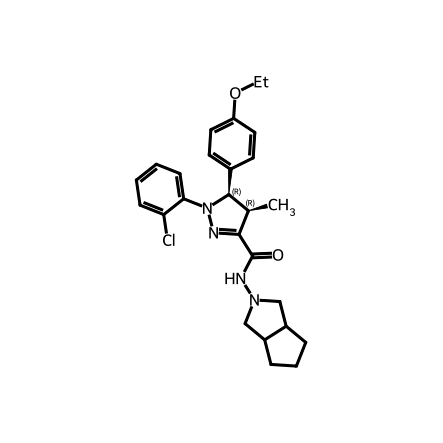 CCOc1ccc([C@H]2[C@@H](C)C(C(=O)NN3CC4CCCC4C3)=NN2c2ccccc2Cl)cc1